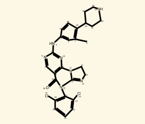 Cc1cc(Nc2ncc3c(n2)N2CCN=C2N(c2c(Cl)cccc2Cl)C3=O)ccc1C1CCNCC1